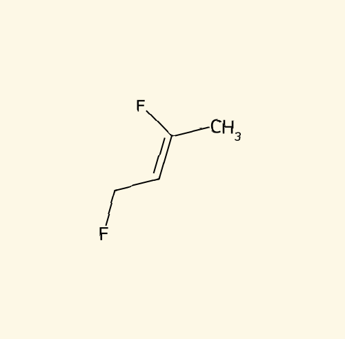 C/C(F)=C/CF